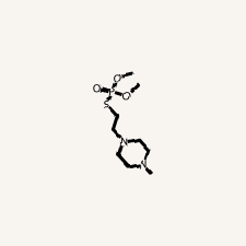 COP(=O)(OC)SCCN1CCN(C)CC1